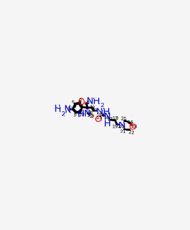 NC(=O)C1(c2ccc(N)cc2)C=C(NC(=O)NCCCN2CCOCC2)SN1